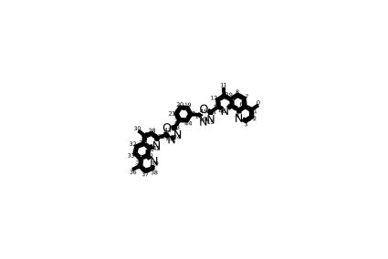 Cc1ccnc2c1ccc1c(C)cc(-c3nnc(-c4cccc(-c5nnc(-c6cc(C)c7ccc8c(C)ccnc8c7n6)o5)c4)o3)nc12